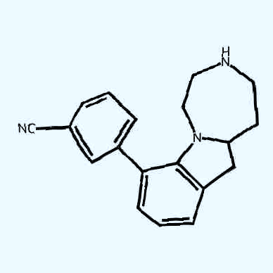 N#Cc1cccc(-c2cccc3c2N2CCNCCC2C3)c1